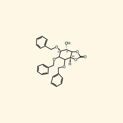 O=C1OC2[C@H](O1)C(OCc1ccccc1)C(OCc1ccccc1)[C@@H](OCc1ccccc1)[C@@H]2O